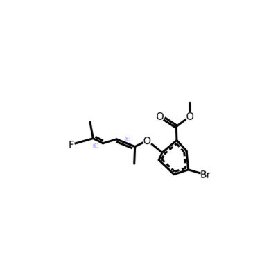 COC(=O)c1cc(Br)ccc1O/C(C)=C/C=C(\C)F